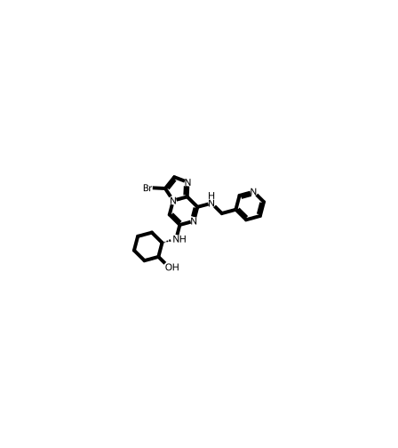 OC1CCCC[C@@H]1Nc1cn2c(Br)cnc2c(NCc2cccnc2)n1